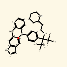 O=CN(c1ccc(C(OCCC2CCCCN2)(C(F)(F)F)C(F)(F)F)cc1)c1cccnc1Nc1ccc2cn[nH]c2c1